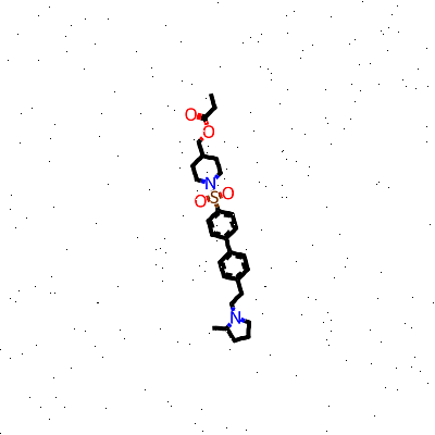 CCC(=O)OCC1CCN(S(=O)(=O)c2ccc(-c3ccc(CCN4CCCC4C)cc3)cc2)CC1